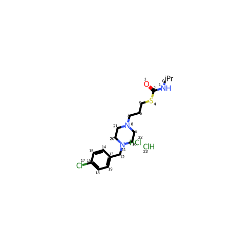 CC(C)NC(=O)SCCCN1CCN(Cc2ccc(Cl)cc2)CC1.Cl.Cl